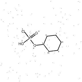 O=P(O)(Cl)OC1CCCCC1